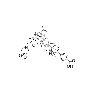 C=C(C)[C@@H]1CC[C@]2(NC(=O)CN3CCS(=O)(=O)CC3)CC[C@]3(C)[C@H](CC[C@@H]4[C@@]5(C)CC=C(c6ccc(C(=O)O)cc6)C(C)(C)[C@@H]5CC[C@]43C)[C@@H]12